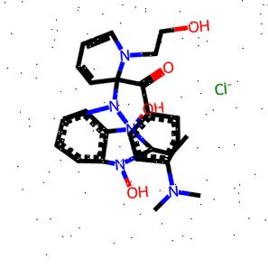 CCC1N(O)c2ccc3cc2[N+]1(O)N3C1(C(=O)c2ccc(N(C)C)cc2)C=CC=CN1CCO.[Cl-]